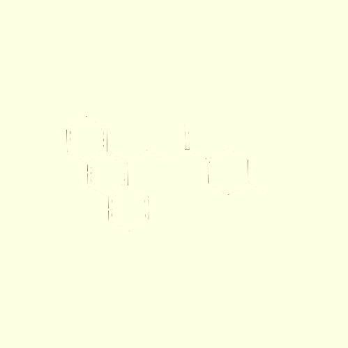 CC1CCN(C(=O)OCc2c3ccccc3cc3ccccc23)CC1